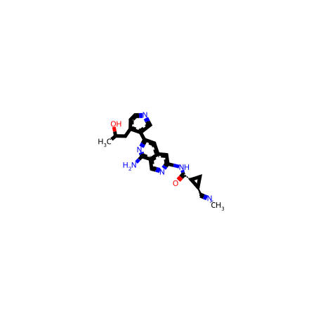 C/N=C/[C@@H]1C[C@H]1C(=O)Nc1cc2cc(-c3cnccc3CC(C)O)nc(N)c2cn1